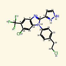 FC(F)(F)c1cc2nc(-c3cc[nH]n3)n(-c3ccc(CCCl)cc3)c2cc1Cl